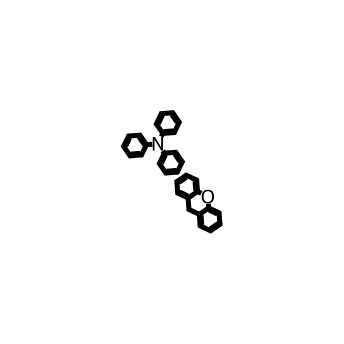 c1ccc(N(c2ccccc2)c2ccccc2)cc1.c1ccc2c(c1)Cc1ccccc1O2